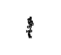 CCN1CCN(CCNC(=O)CCCCc2cc(Cl)c(COC3(c4cnccc4-c4ccccc4OC4CC4)CC3)cc2Cl)CC1